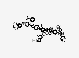 CC(C)c1ccccc1[C@@H]1CN(Cc2ccc3c(c2)OCCO3)CCN1C1CC2(CCN(c3cc(Oc4cnc5[nH]ccc5c4)c(C(=O)NS(=O)(=O)c4ccc(NCC5(F)CCOCC5)c([N+](=O)[O-])c4)cc3F)CC2)C1